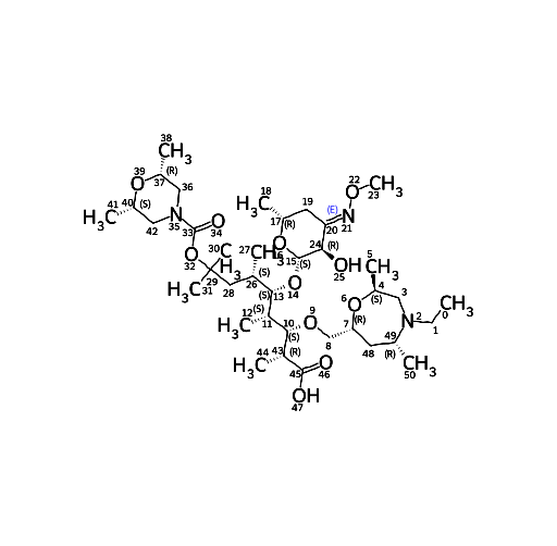 CCN1C[C@H](C)O[C@@H](CO[C@@H]([C@H](C)[C@@H](O[C@@H]2O[C@H](C)C/C(=N\OC)[C@H]2O)[C@@H](C)CC(C)(C)OC(=O)N2C[C@@H](C)O[C@@H](C)C2)[C@@H](C)C(=O)O)C[C@H]1C